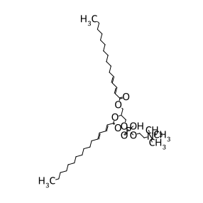 CCCCCCCCCCC/C=C/C=C/C(=O)OCC(COP(=O)(O)OCC[N+](C)(C)C)OC(=O)/C=C/C=C/CCCCCCCCCCC